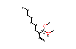 C=CC(CCCCCCC)[SiH](OC)OC